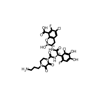 NCCCN1CCN(C(=O)N[C@@H](C(=O)N[C@H]2Cc3cc(Cl)c(F)c(C(=O)O)c3OB2O)c2c(F)cc(O)c(O)c2Cl)C(=O)C1=O